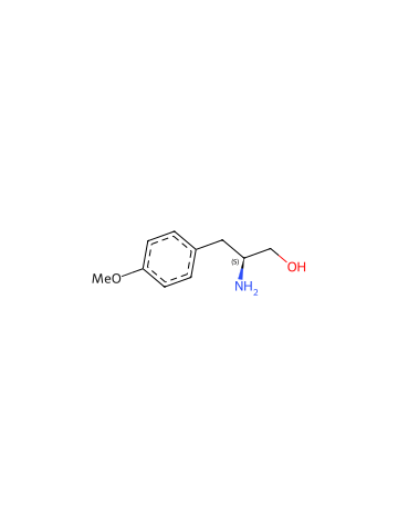 COc1ccc(C[C@H](N)CO)cc1